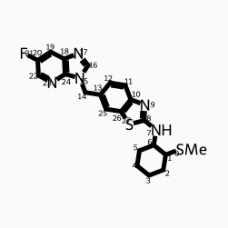 CSC1CCCCC1Nc1nc2ccc(Cn3cnc4cc(F)cnc43)cc2s1